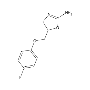 NC1=NCC(COc2ccc(F)cc2)O1